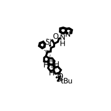 C[C@H](CCCC(CC(=O)Nc1cccc2cccnc12)C[Si](C)(C)c1ccccc1)C1CC[C@H]2[C@@H]3CC[C@@H]4C[C@H](O[Si](C)(C)C(C)(C)C)CC[C@]4(C)[C@H]3CC[C@]12C